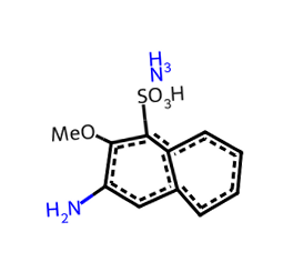 COc1c(N)cc2ccccc2c1S(=O)(=O)O.N